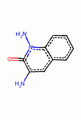 Nc1cc2ccccc2n(N)c1=O